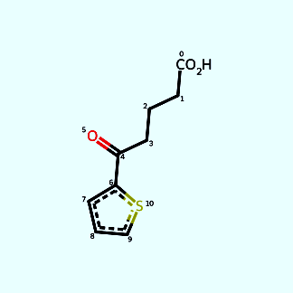 O=C(O)CCCC(=O)c1cccs1